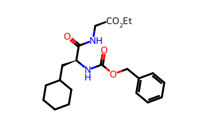 CCOC(=O)CNC(=O)[C@H](CC1CCCCC1)NC(=O)OCc1ccccc1